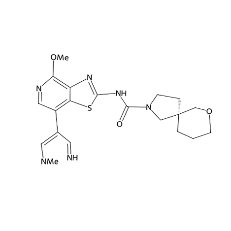 CN/C=C(\C=N)c1cnc(OC)c2nc(NC(=O)N3CC[C@]4(CCCOC4)C3)sc12